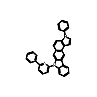 c1ccc(-c2cccc(-n3c4ccccc4c4cc5c(ccc6c5ccn6-c5ccccc5)cc43)n2)cc1